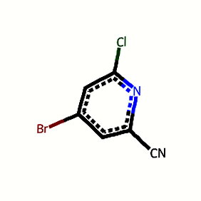 N#Cc1cc(Br)cc(Cl)n1